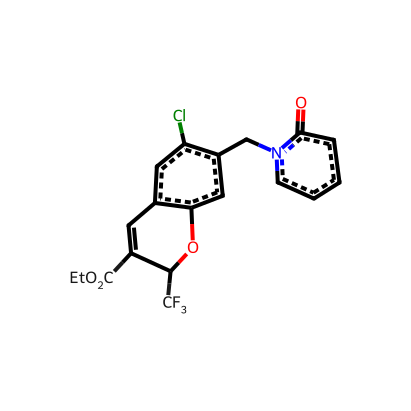 CCOC(=O)C1=Cc2cc(Cl)c(Cn3ccccc3=O)cc2OC1C(F)(F)F